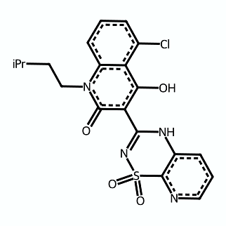 CC(C)CCn1c(=O)c(C2=NS(=O)(=O)c3ncccc3N2)c(O)c2c(Cl)cccc21